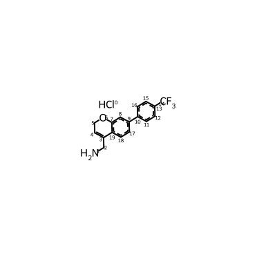 Cl.NCC1=CCOc2cc(-c3ccc(C(F)(F)F)cc3)ccc21